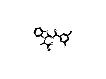 CC(C(=O)O)n1/c(=N/C(=O)c2cc(F)cc(F)c2)sc2ccccc21